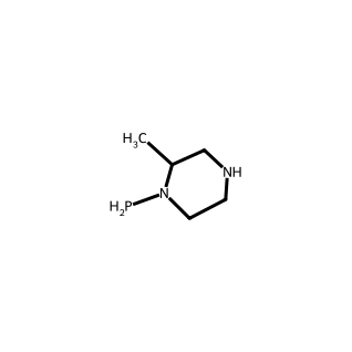 CC1CNCCN1P